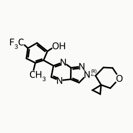 Cc1cc(C(F)(F)F)cc(O)c1-c1cnc2cn([C@@H]3CCOCC34CC4)nc2n1